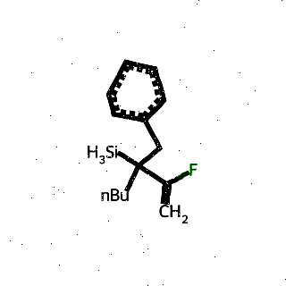 C=C(F)C([SiH3])(CCCC)Cc1ccccc1